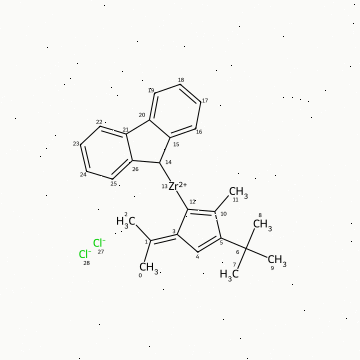 CC(C)=C1C=C(C(C)(C)C)C(C)=[C]1[Zr+2][CH]1c2ccccc2-c2ccccc21.[Cl-].[Cl-]